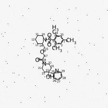 Cc1cc(C)c(S(=O)(=O)N2CCCCC2COCC(=O)N2CCC(O)(c3ccccn3)CC2)c(C)c1